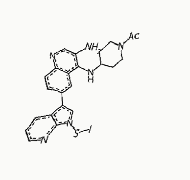 CC(=O)N1CCC(Nc2c(N)cnc3ccc(-c4cn(SI)c5ncccc45)cc23)CC1